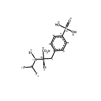 CCN(C(F)F)[C@@](CC)(Cc1ccc(P(=O)(O)O)cc1)C(=O)O